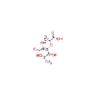 CC(O[C@H]([C@@H](O)[C@H](C)O)[C@@H](O)C=O)C(=O)O